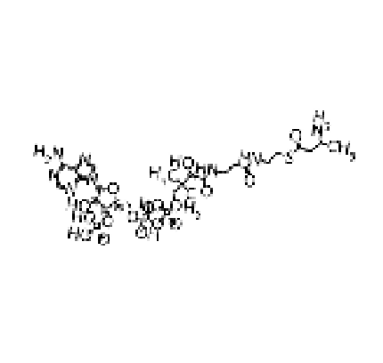 CC(N)CC(=O)SCCNC(=O)CCNC(=O)[C@H](O)C(C)(C)COP(=O)(O)OP(=O)(O)OC[C@H]1O[C@@H](n2cnc3c(N)ncnc32)[C@H](O)[C@@H]1OP(=O)(O)O